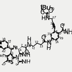 CC(=N)N1C(=N)[C@H](CC(=O)NCCCC(=O)Nc2ccc(C(N)=O)c(C#CCNC(=O)OC(C)(C)C)c2)N=C(c2ccc(Cl)cc2)c2c1sc(C)c2C